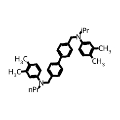 CCCN(Cc1ccc(-c2ccc(CN(c3ccc(C)c(C)c3)C(C)C)cc2)cc1)c1ccc(C)c(C)c1